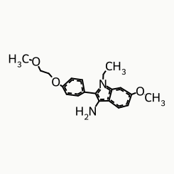 CCn1c(-c2ccc(OCCOC)cc2)c(N)c2ccc(OC)cc21